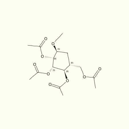 CO[C@H]1C[C@H](COC(C)=O)[C@@H](OC(C)=O)[C@H](OC(C)=O)[C@@H]1OC(C)=O